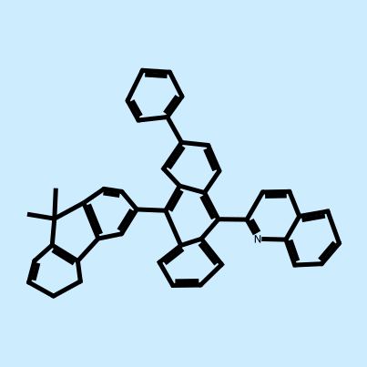 CC1(C)C2=C(CCC=C2)c2cc(-c3c4ccccc4c(-c4ccc5ccccc5n4)c4ccc(-c5ccccc5)cc34)ccc21